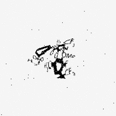 COc1c(F)c(C2(C(F)(F)F)CC2)cc(C)c1Oc1nnc(C(F)(F)F)c(C)c1C(=O)Nc1cccc(S(C)(=O)=O)c1